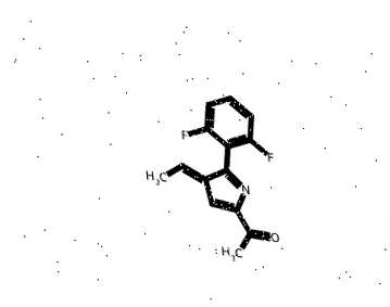 C/C=C1\C=C(C(C)=O)N=C1c1c(F)cccc1F